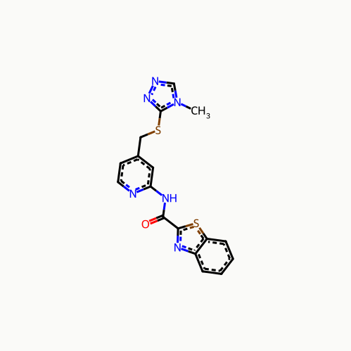 Cn1cnnc1SCc1ccnc(NC(=O)c2nc3ccccc3s2)c1